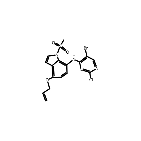 C=CCOc1ccc(Nc2nc(Cl)ncc2Br)c2c1ccn2S(C)(=O)=O